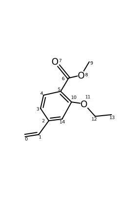 C=Cc1ccc(C(=O)OC)c(OCC)c1